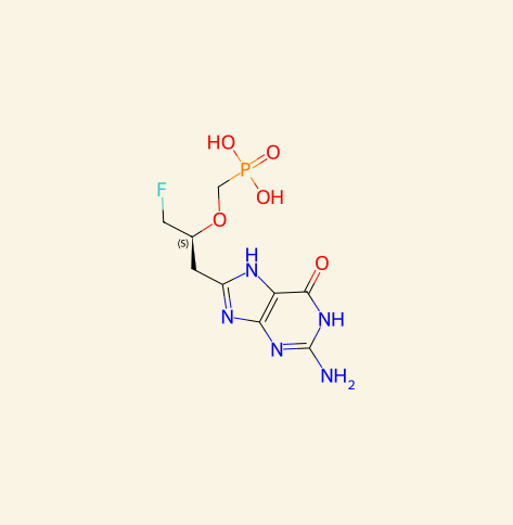 Nc1nc2nc(C[C@@H](CF)OCP(=O)(O)O)[nH]c2c(=O)[nH]1